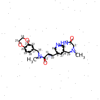 CN1CC(=O)Nc2ncc(/C=C/C(=O)N(C)Cc3ccc4c(c3)OCCO4)cc2C1